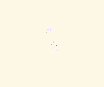 Cc1cc(CCCn2c(=O)c3c(ncn3CC(F)(F)F)n(C)c2=O)on1